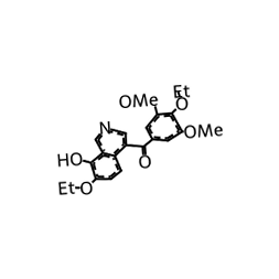 CCOc1ccc2c(C(=O)c3cc(OC)c(OCC)c(OC)c3)cncc2c1O